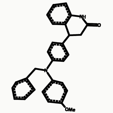 COc1ccc(N(Cc2ccccc2)c2ccc(C3CC(=O)Nc4ccccc43)cc2)cc1